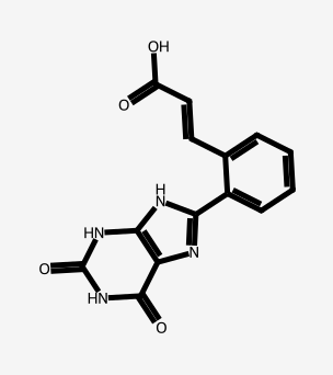 O=C(O)C=Cc1ccccc1-c1nc2c(=O)[nH]c(=O)[nH]c2[nH]1